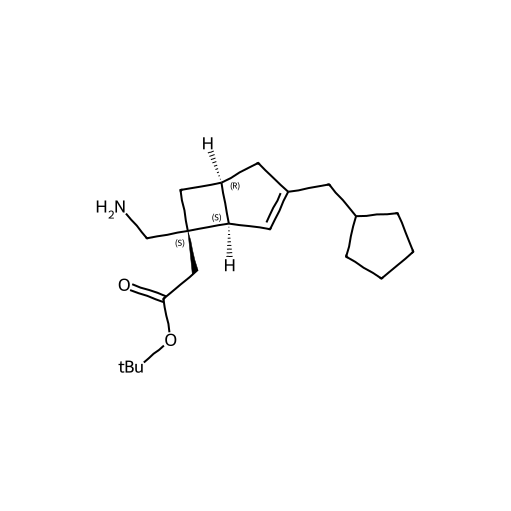 CC(C)(C)OC(=O)C[C@@]1(CN)C[C@H]2CC(CC3CCCC3)=C[C@H]21